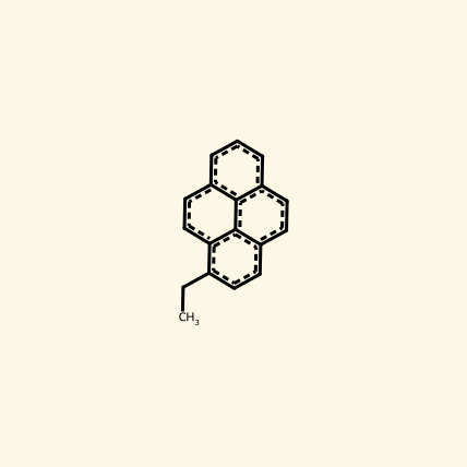 CCc1ccc2ccc3cccc4ccc1c2c34